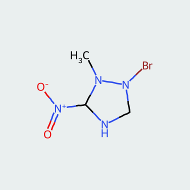 CN1C([N+](=O)[O-])NCN1Br